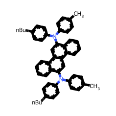 CCCCc1ccc(N(c2ccc(C)cc2)c2cc3c4ccccc4c(N(c4ccc(C)cc4)c4ccc(CCCC)cc4)cc3c3ccccc23)cc1